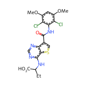 CCC(Nc1ncnc2c(C(=O)Nc3c(Cl)c(OC)cc(OC)c3Cl)csc12)C(=O)O